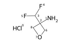 Cl.NC1(C(F)F)COC1